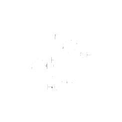 CC(C)(CC(O)(Cc1ccccc1F)C(=O)O)c1cc(F)ccc1O